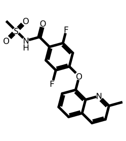 Cc1ccc2cccc(Oc3cc(F)c(C(=O)NS(C)(=O)=O)cc3F)c2n1